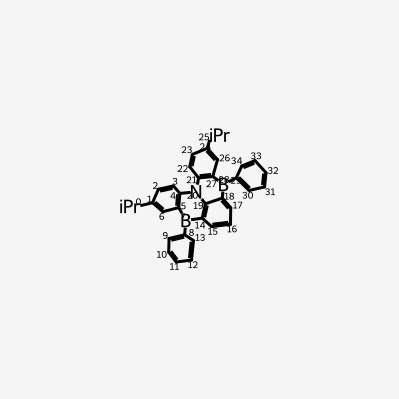 CC(C)c1ccc2c(c1)B(c1ccccc1)c1cccc3c1N2c1ccc(C(C)C)cc1B3c1ccccc1